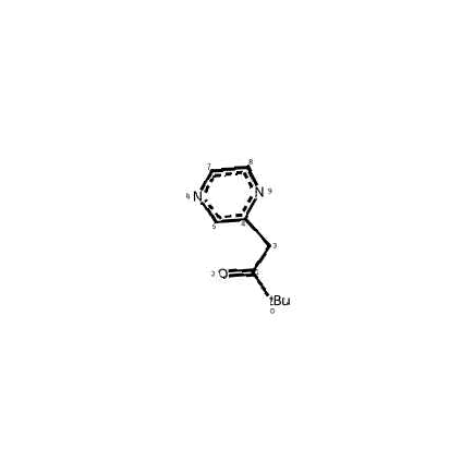 CC(C)(C)C(=O)Cc1cnccn1